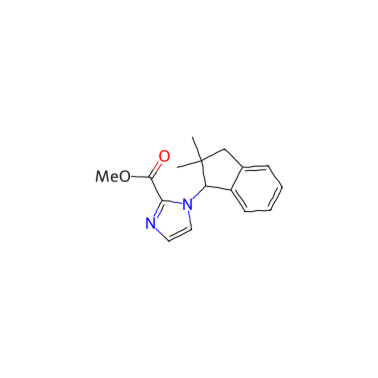 COC(=O)c1nccn1C1c2ccccc2CC1(C)C